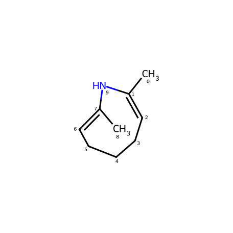 C/C1=C/CCC/C=C(\C)N1